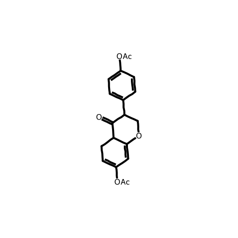 CC(=O)OC1=CCC2C(=O)C(c3ccc(OC(C)=O)cc3)COC2=C1